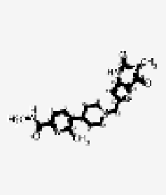 CNC(=O)c1ccc(C2CCN(Cc3cc4[nH]c(=O)n(C)c(=O)c4s3)CC2)c(C)n1